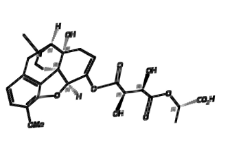 COc1ccc2c3c1O[C@@H]1C(OC(=O)[C@H](O)[C@@H](O)C(=O)O[C@@H](C)C(=O)O)=CC[C@]4(O)[C@H](C2)N(C)CC[C@@]314